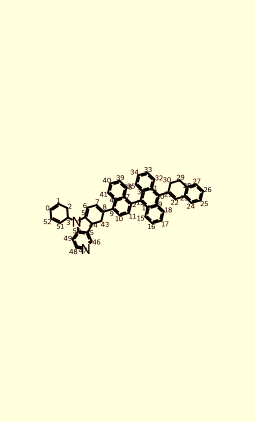 C1=CCC(N2C3=CC=C(c4ccc(-c5c6ccccc6c(C6=Cc7ccccc7CC6)c6ccccc56)c5ccccc45)CC3c3cnccc32)C=C1